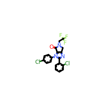 O=C1c2c(nc(-c3ccccc3Cl)n2-c2ccc(Cl)cc2)CN1CC(F)(F)F